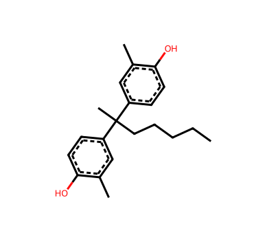 CCCCCC(C)(c1ccc(O)c(C)c1)c1ccc(O)c(C)c1